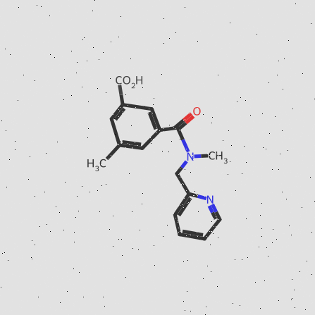 Cc1cc(C(=O)O)cc(C(=O)N(C)Cc2ccccn2)c1